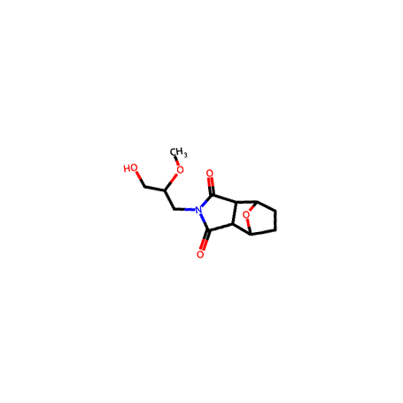 COC(CO)CN1C(=O)C2C3CCC(O3)C2C1=O